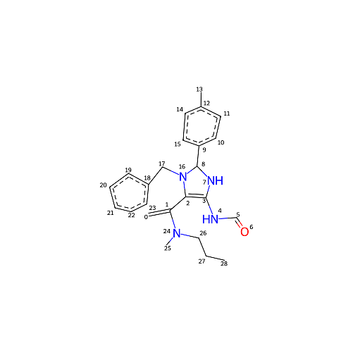 C=C(C1=C(NC=O)NC(c2ccc(C)cc2)N1Cc1ccccc1)N(C)CCC